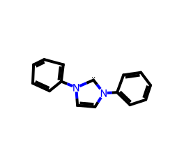 [C]1N(c2ccccc2)C=CN1c1ccccc1